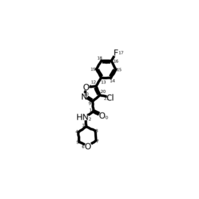 O=C(NC1CCOCC1)c1noc(-c2ccc(F)cc2)c1Cl